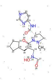 CN1CC[C@@H](C(=O)Nc2ccncn2)N1C(=O)[C@H](CC1CCCC1)CN(O)C=O